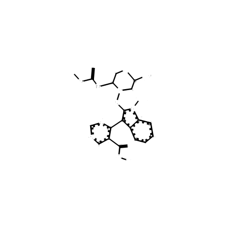 CCNC(=O)NC1COC(OC)CN1Nc1c(-c2ncncc2C(=O)OC(C)C)c2ccccc2n1C